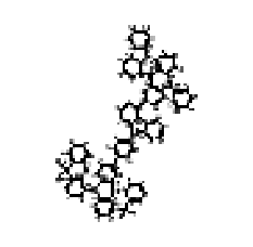 CC1(C)c2ccccc2N2c3cc(-c4ccc(-n5c6ccccc6c6c(-c7cc8c9c(c7)c7ccccc7n9-c7cccc9c7B8c7cccc8c%10ccccc%10n-9c78)cccc65)cc4)cc4c3B(c3cccc1c32)c1cccc2c1N4c1ccccc1C2(C)C